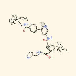 Cc1ncc(NC(=O)c2cc(C(=O)NCc3cccnc3)cc(C(C)(C)C)c2)cc1-c1ccc(C(=O)NCC(C)(C)C)cc1